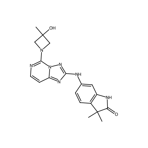 CC1(O)CN(c2nccc3nc(Nc4ccc5c(c4)NC(=O)C5(C)C)nn23)C1